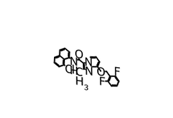 Cc1nc2c(OCc3c(F)cccc3F)cccn2c1C(=O)Nc1cccc2cccc(Cl)c12